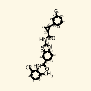 Cc1cccc(Cl)c1NC(=O)c1ccc2nc(NC(=O)C3CC3c3cccc(Cl)c3)sc2c1